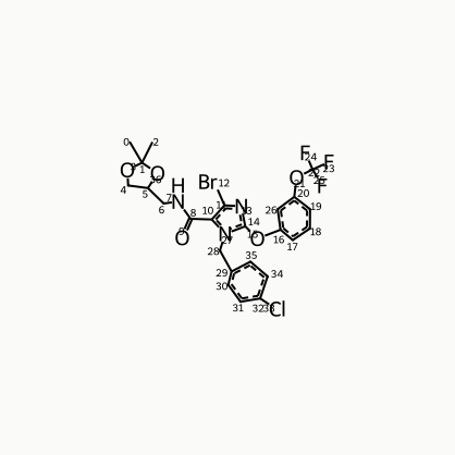 CC1(C)OCC(CNC(=O)c2c(Br)nc(Oc3cccc(OC(F)(F)F)c3)n2Cc2ccc(Cl)cc2)O1